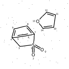 O=S1(=O)Cc2ccc1cc2.c1ccoc1